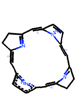 N=[N+]1/C2=C\C3=NC(=C\c4ccc([nH]4)/C=C4/CCC(=N4)/C=C\1C=C2)/CC3